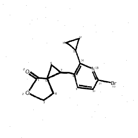 O=C1OCCC12CC2c1ccc(Br)nc1C1CC1